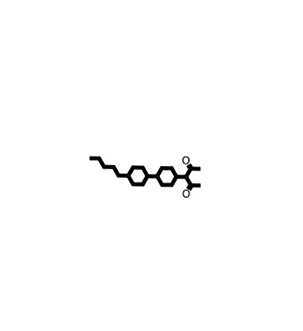 CCCCCC1CCC(C2CCC(C(C(C)=O)C(C)=O)CC2)CC1